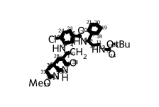 C=C(Nc1cc(C(=O)NC(CCNC(=O)OC(C)(C)C)c2ccccc2)ccc1Cl)c1cc2ccc(OC)nc2[nH]c1=O